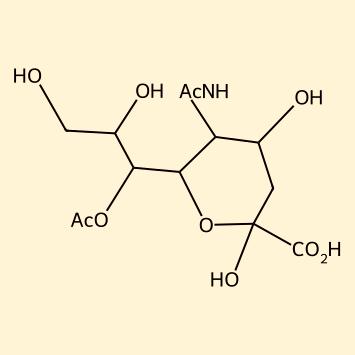 CC(=O)NC1C(O)CC(O)(C(=O)O)OC1C(OC(C)=O)C(O)CO